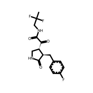 CC(F)(F)CNC(=O)C(=O)[C@H]1CNC(=O)[C@@H]1Cc1ccc(F)cc1